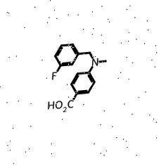 CN(Cc1cccc(F)c1)c1ccc(C(=O)O)cc1